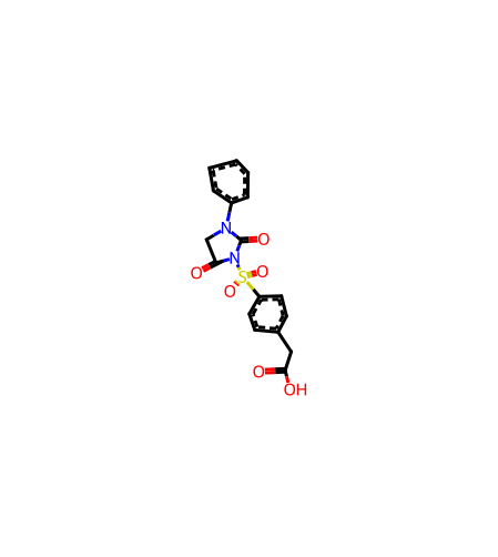 O=C(O)Cc1ccc(S(=O)(=O)N2C(=O)CN(c3ccccc3)C2=O)cc1